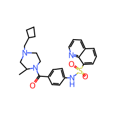 CC1CN(CC2CCC2)CCN1C(=O)c1ccc(NS(=O)(=O)c2cccc3cccnc23)cc1